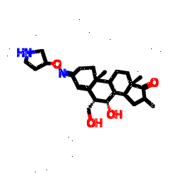 CC1CC2C3C(CC[C@]2(C)C1=O)[C@@]1(C)CCC(=NOC2CCNC2)C=C1[C@@H](CO)[C@H]3O